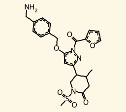 CC1CC(=O)N(S(C)(=O)=O)CC1c1cc(OCc2ccc(CN)cc2)n(C(=O)c2ccco2)n1